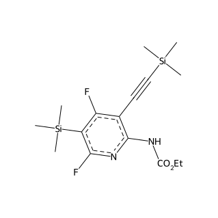 CCOC(=O)Nc1nc(F)c([Si](C)(C)C)c(F)c1C#C[Si](C)(C)C